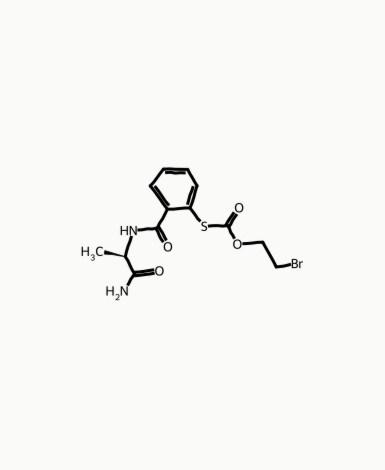 C[C@@H](NC(=O)c1ccccc1SC(=O)OCCBr)C(N)=O